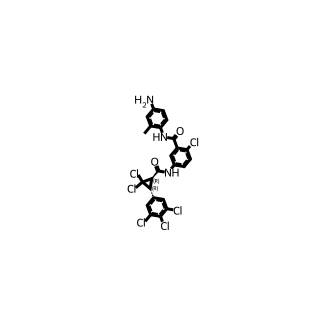 Cc1cc(N)ccc1NC(=O)c1cc(NC(=O)[C@H]2[C@H](c3cc(Cl)c(Cl)c(Cl)c3)C2(Cl)Cl)ccc1Cl